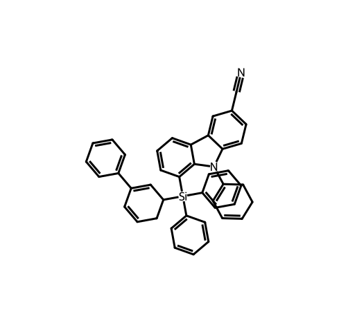 N#Cc1ccc2c(c1)c1cccc([Si](c3ccccc3)(c3ccccc3)C3C=C(c4ccccc4)C=CC3)c1n2C1=CC=CCC1